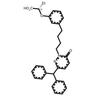 CC[C@H](Oc1cccc(CCCCn2nc(C(c3ccccc3)c3ccccc3)ccc2=O)c1)C(=O)O